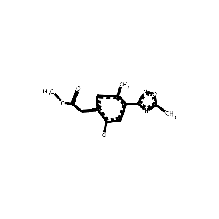 COC(=O)Cc1cc(C)c(-c2noc(C)n2)cc1Cl